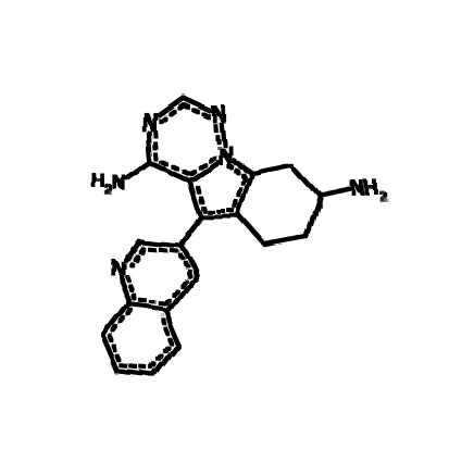 Nc1ncnn2c3c(c(-c4cnc5ccccc5c4)c12)CCC(N)C3